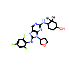 [2H]C1([2H])CC(O)CCC1Nc1ncc2nc(Nc3c(F)cc(F)cc3F)n(C3CCOC3)c2n1